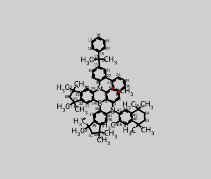 Cc1cc2c3c(c1)N(c1ccc(C(C)(C)c4ccccc4)cc1-c1ccccc1)c1cc4c(cc1B3c1cc3c(cc1N2c1cc2c(cc1C)C(C)(C)CCC2(C)C)C(C)(C)CC3(C)C)C(C)(C)CC4(C)C